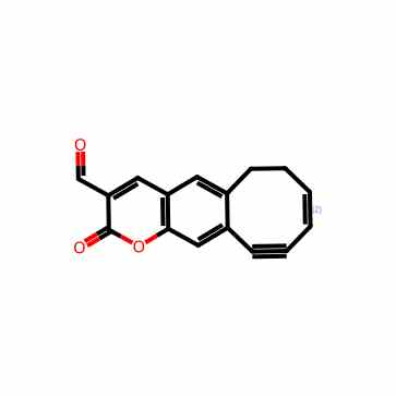 O=Cc1cc2cc3c(cc2oc1=O)C#C/C=C\CC3